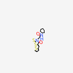 O=C(CCN1C(=O)/C(=C/c2cccs2)SC1=S)NC1CCCCC1